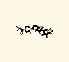 Cc1c(-c2[nH]c3ccc(N4[C@@H](C)CN(C(=O)CN(C)C)C[C@@H]4C)nc3c2C(C)C)cn2ncnc2c1C